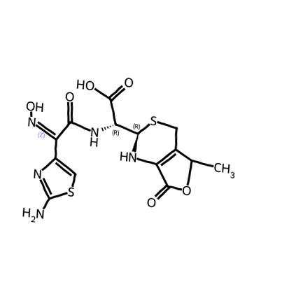 CC1OC(=O)C2=C1CS[C@H]([C@H](NC(=O)/C(=N\O)c1csc(N)n1)C(=O)O)N2